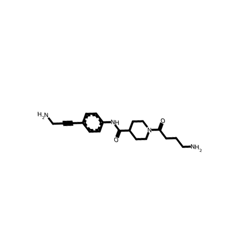 NCC#Cc1ccc(NC(=O)C2CCN(C(=O)CCCN)CC2)cc1